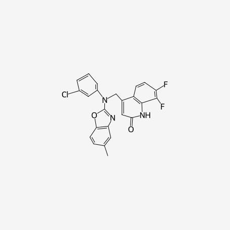 Cc1ccc2oc(N(Cc3cc(=O)[nH]c4c(F)c(F)ccc34)c3cccc(Cl)c3)nc2c1